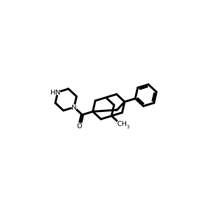 CC12CC3CC(C(=O)N4CCNCC4)(C1)CC(c1ccccc1)(C3)C2